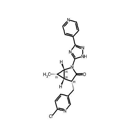 C[C@H]1[C@@H]2[C@H]1N(c1nc(-c3ccncc3)n[nH]1)C(=O)[C@@H]2Cc1ccc(Cl)nc1